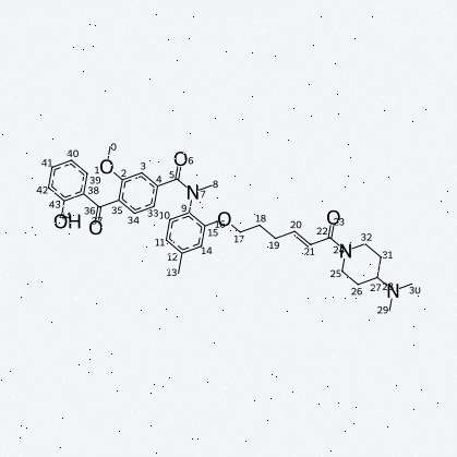 COc1cc(C(=O)N(C)c2ccc(C)cc2OCCC/C=C/C(=O)N2CCC(N(C)C)CC2)ccc1C(=O)c1ccccc1O